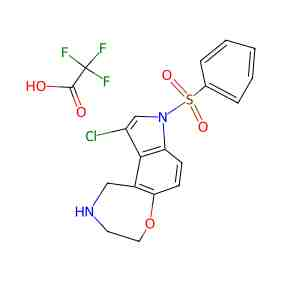 O=C(O)C(F)(F)F.O=S(=O)(c1ccccc1)n1cc(Cl)c2c3c(ccc21)OCCNC3